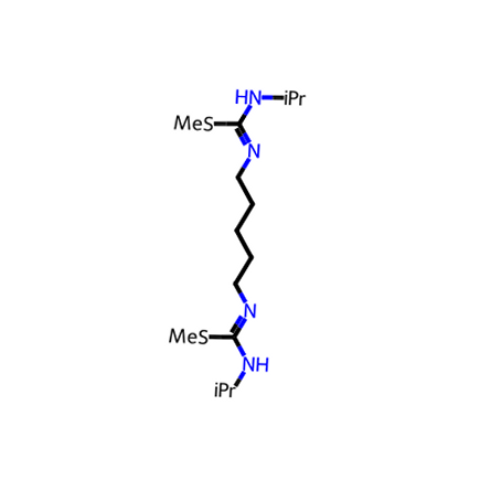 CS/C(=N\CCCCC/N=C(/NC(C)C)SC)NC(C)C